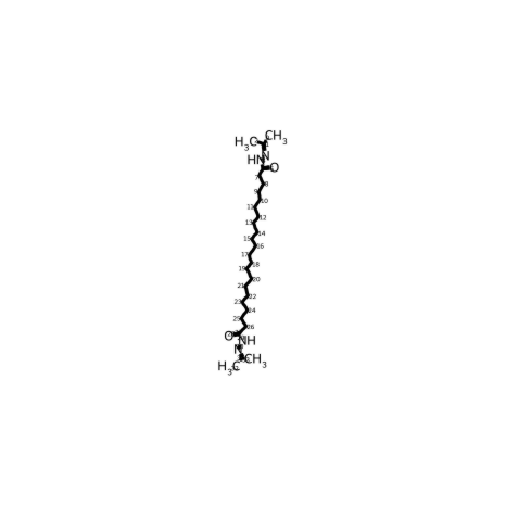 CC(C)=NNC(=O)CCCCCCCCCCCCCCCCCCCCC(=O)NN=C(C)C